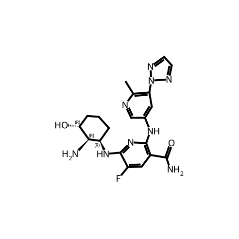 Cc1ncc(Nc2nc(N[C@@H]3CCC[C@@H](O)[C@@H]3N)c(F)cc2C(N)=O)cc1-n1nccn1